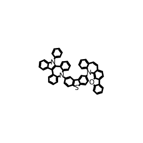 C1=Cc2ccc3c(oc4ccccc43)c2N(c2ccc3sc4ccc(N5c6ccccc6-c6c(n(-c7ccccc7)c7ccccc67)-c6ccccc65)cc4c3c2)c2ccccc21